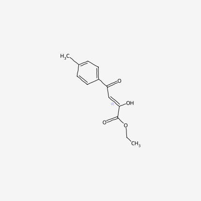 CCOC(=O)/C(O)=C/C(=O)c1ccc(C)cc1